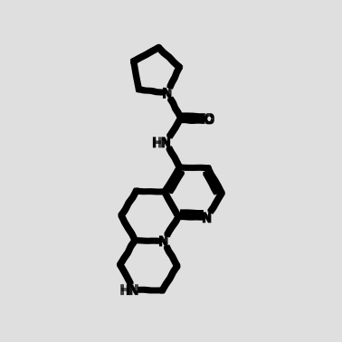 O=C(Nc1ccnc2c1CCC1CNCCN21)N1CCCC1